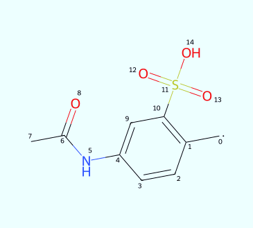 [CH2]c1ccc(NC(C)=O)cc1S(=O)(=O)O